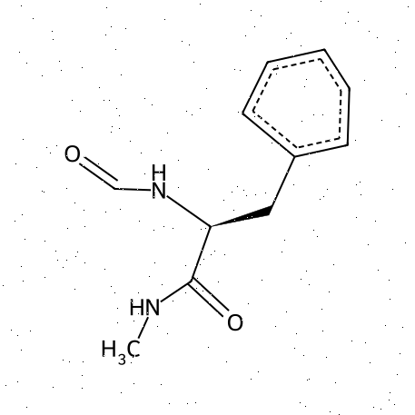 CNC(=O)[C@H](Cc1ccccc1)NC=O